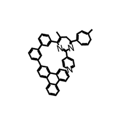 CC1=CC=C(C2=NC(c3ccncc3)=NC(c3cccc(-c4cccc(-c5ccc6c7ccccc7c7ccccc7c6c5)c4)c3)=C(C)C2)C=CC1